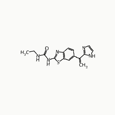 C=C(c1ccc2nc(NC(=O)NCC)sc2c1)c1ncc[nH]1